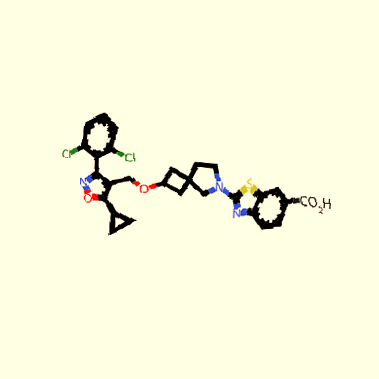 O=C(O)c1ccc2nc(N3CCC4(CC(OCc5c(-c6c(Cl)cccc6Cl)noc5C5CC5)C4)C3)sc2c1